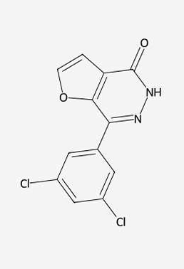 O=c1[nH]nc(-c2cc(Cl)cc(Cl)c2)c2occc12